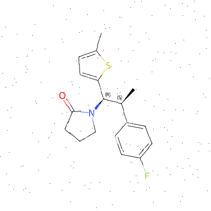 Cc1ccc([C@@H]([C@@H](C)c2ccc(F)cc2)N2CCCC2=O)s1